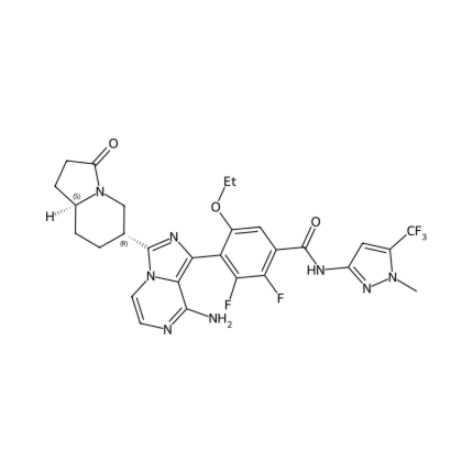 CCOc1cc(C(=O)Nc2cc(C(F)(F)F)n(C)n2)c(F)c(F)c1-c1nc([C@@H]2CC[C@H]3CCC(=O)N3C2)n2ccnc(N)c12